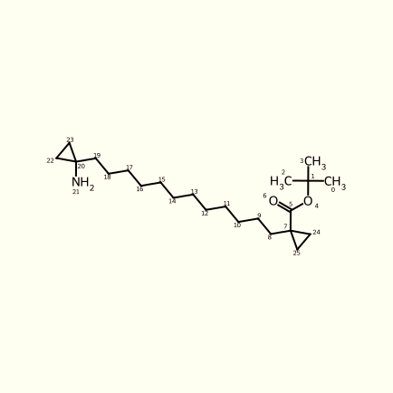 CC(C)(C)OC(=O)C1(CCCCCCCCCCCCC2(N)CC2)CC1